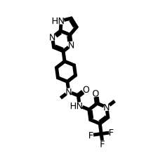 CN(C(=O)Nc1cc(C(F)(F)F)cn(C)c1=O)C1CCC(c2cnc3[nH]ccc3n2)CC1